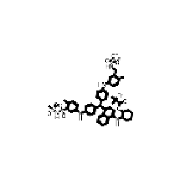 CCC(C)(C)C(=O)OC1CCCCC1Nc1ccc(C(c2ccc(Nc3ccc(C)c(CNS(=O)(=O)C(F)(F)F)c3)cc2)c2ccc(Nc3ccc(C)c(S(=O)(=O)NS(C)(=O)=O)c3)cc2)c2ccccc12